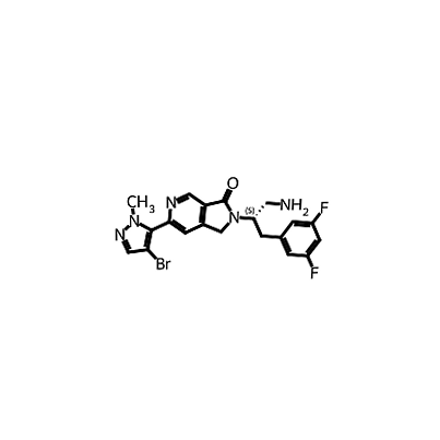 Cn1ncc(Br)c1-c1cc2c(cn1)C(=O)N([C@H](CN)Cc1cc(F)cc(F)c1)C2